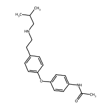 CC(=O)Nc1ccc(Oc2ccc(CCNCC(C)C)cc2)cc1